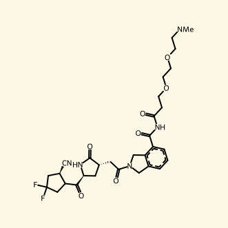 CNCCOCCOCCC(=O)NC(=O)c1cccc2c1CN(C(=O)C[C@@H]1C[C@@H](C(=O)C3CC(F)(F)C[C@H]3C#N)NC1=O)C2